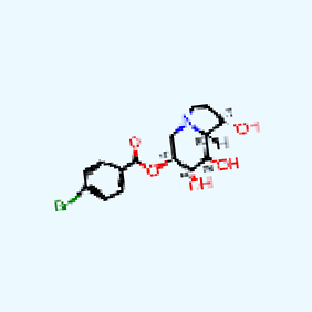 O=C(O[C@H]1CN2CC[C@H](O)[C@@H]2[C@@H](O)[C@@H]1O)c1ccc(Br)cc1